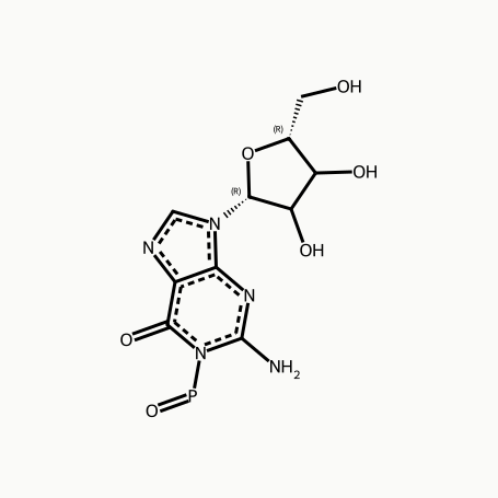 Nc1nc2c(ncn2[C@@H]2O[C@H](CO)C(O)C2O)c(=O)n1P=O